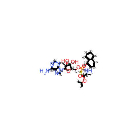 CC(C)OC(=O)[C@H](C)NP(=S)(OC[C@H]1O[C@@H](n2cnc3c(N)ncnc32)[C@](C)(O)[C@@H]1O)Oc1cccc2ccccc12